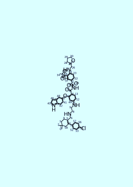 CC1(C)CCC(CNCCNc2ccc(C(=O)NS(=O)(=O)c3ccc(NC[C@H]4CCCO4)c([N+](C)([O-])O)c3)c(Oc3ccc4[nH]ccc4c3)c2)=C(c2ccc(Cl)cc2)C1